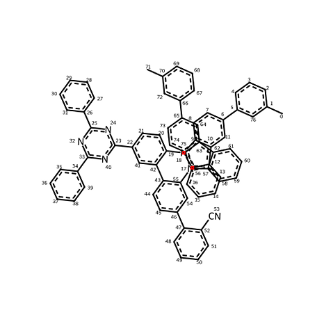 Cc1cccc(-c2ccc3c(c2)c2ccccc2n3-c2ccc(-c3nc(-c4ccccc4)nc(-c4ccccc4)n3)cc2-c2ccc(-c3ccccc3C#N)cc2-n2c3ccccc3c3cc(-c4cccc(C)c4)ccc32)c1